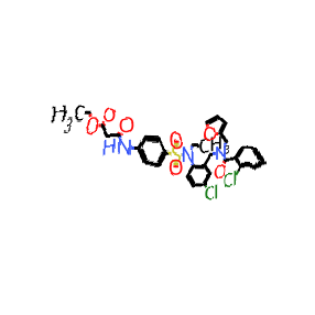 CCOC(=O)CC(=O)Nc1ccc(S(=O)(=O)N(CC)c2ccc(Cl)cc2CN(Cc2ccco2)C(=O)c2ccccc2Cl)cc1